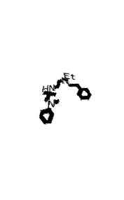 CCN(CCNC(C)(C)CN(C)c1ccccc1)CCc1ccccc1